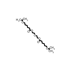 CC(C)OCCCCCC(=O)OCCOCCOC(=O)CCCCCOC(C)C